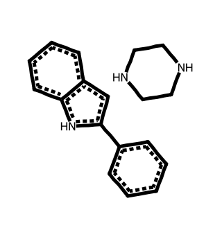 C1CNCCN1.c1ccc(-c2cc3ccccc3[nH]2)cc1